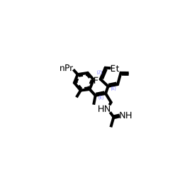 C=C/C=C(\C=C/CC)C(/CNC(C)=N)=C(/C)c1c(C)cc(CCC)cc1F